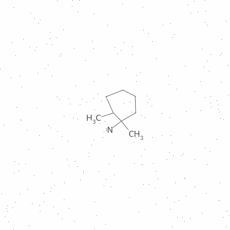 CC1CCCCC1(C)[N]